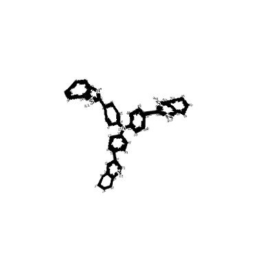 C1=CC(c2nc3ccccc3s2)CC=C1N(c1ccc(-c2cnc3c(c2)CCCC3)cc1)c1ccc(-c2nc3ccccc3s2)cc1